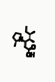 C=C[C@@H](C)[C@@H](C)C(=CC(=O)O)N1CCC[C@@H]1C